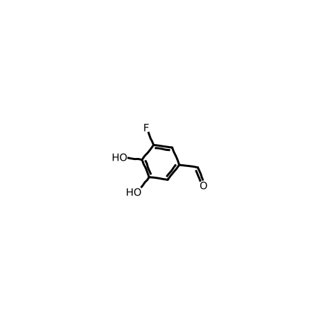 O=Cc1cc(O)c(O)c(F)c1